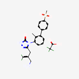 Cc1c(-c2ccc(S(C)(=O)=O)cc2)cccc1-n1c(CC(CN)=C(F)F)n[nH]c1=O.O=C(O)C(F)(F)F